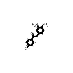 Nc1ccc(CC(=O)c2ccc(Cl)cc2)cc1N